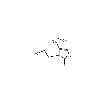 CO.Cc1ncc([N+](=O)[O-])n1CCO